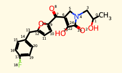 CC(O)CN1CC(C(=O)c2ccc(Cc3ccc(F)cc3)o2)=C(O)C1=O